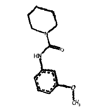 COc1cccc(NC(=O)N2CCCCC2)c1